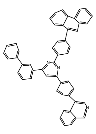 c1ccc(-c2cccc(-c3cc(-c4ccc(-c5cncc6ccccc56)cc4)nc(-c4ccc(-c5cc6ccccc6c6ccccc56)cc4)n3)c2)cc1